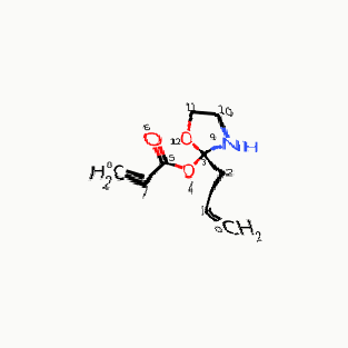 C=CCC1(OC(=O)C=C)NCCO1